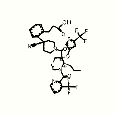 CCC[C@H]1N(C(=O)c2ncccc2C(F)(F)F)CCC[C@@]1(Oc1csc(C(F)(F)F)c1)C(=O)N1CCC(C#N)(c2ccccc2CCC(=O)O)CC1